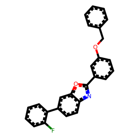 Fc1ccccc1-c1ccc2nc(-c3cccc(OCc4ccccc4)c3)oc2c1